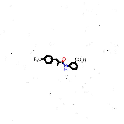 C/C(=C\c1ccc(C(F)(F)F)cc1)C(=O)Nc1cccc(C(=O)O)c1